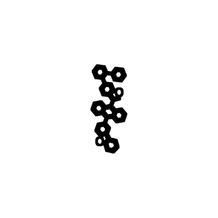 c1ccc(-c2ccccc2-c2ccc3c(-c4c5ccccc5c(-c5ccc6oc7ccccc7c6c5)c5ccccc45)coc3c2)cc1